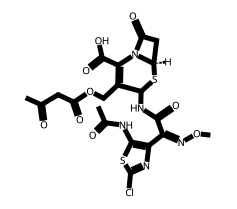 CO/N=C(\C(=O)NC1S[C@@H]2CC(=O)N2C(C(=O)O)=C1COC(=O)CC(C)=O)c1nc(Cl)sc1NC(C)=O